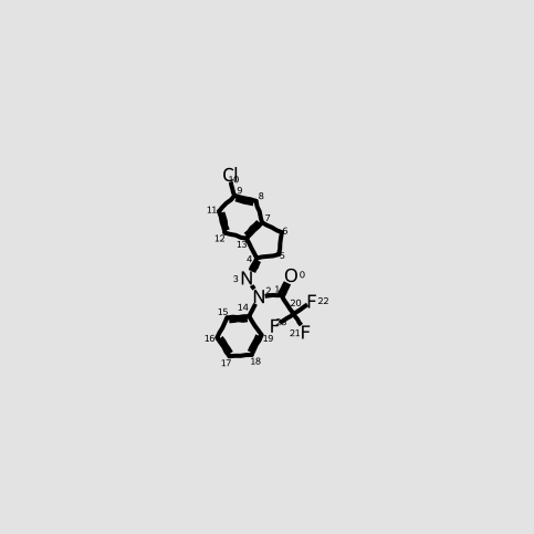 O=C(N(N=C1CCc2cc(Cl)ccc21)c1ccccc1)C(F)(F)F